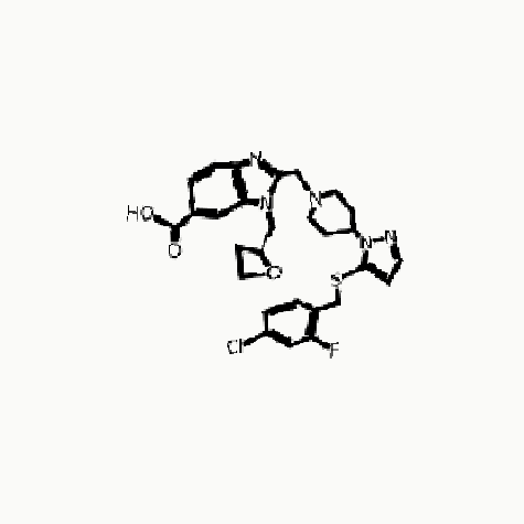 O=C(O)c1ccc2nc(CN3CCC(n4nccc4SCc4ccc(Cl)cc4F)CC3)n(C[C@@H]3CCO3)c2c1